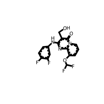 O=c1c(CO)c(Nc2ccc(F)c(F)c2)nc2c(OC(F)F)cccn12